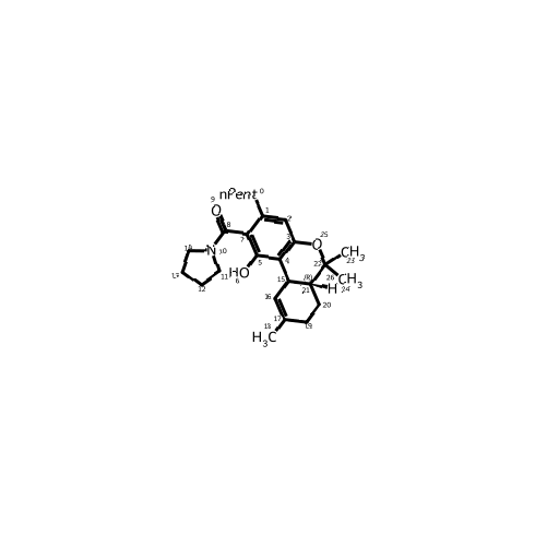 CCCCCc1cc2c(c(O)c1C(=O)N1CCCC1)C1C=C(C)CC[C@H]1C(C)(C)O2